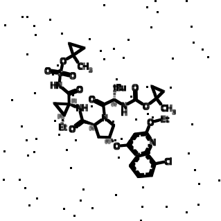 CCOc1cc(O[C@@H]2C[C@@H](C(=O)N[C@]3(C(=O)NS(=O)(=O)OC4(C)CC4)C[C@H]3CC)N(C(=O)[C@@H](NC(=O)OC3(C)CC3)C(C)(C)C)C2)c2cccc(Cl)c2n1